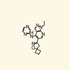 CCn1ncc2c(Nc3cnccn3)c(C3=NOC4(CCC4)C3)cnc21